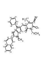 CCN1C(=O)C(C#N)=C(C)/C(=C/c2cc3c(nc(-c4ccc5ccccc5c4)n3C)n2-c2ccccc2)C1=O